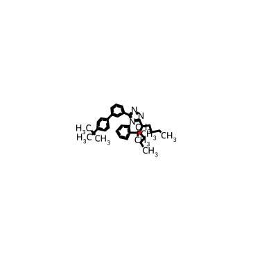 CCCCC(CCCC)c1nnc(-c2cccc(-c3ccc(C(C)(C)C)cc3)c2)n1-c1ccccc1C(C)(C)C